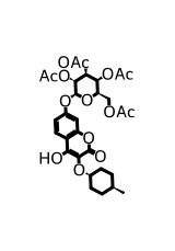 CC(=O)OC[C@H]1O[C@@H](Oc2ccc3c(O)c(O[C@H]4CC[C@H](C)CC4)c(=O)oc3c2)[C@H](OC(C)=O)[C@@H](OC(C)=O)[C@H]1OC(C)=O